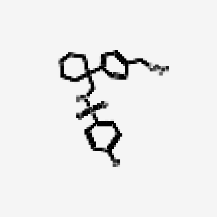 O=C(O)Cc1ccc(C2(CNS(=O)(=O)c3ccc(Cl)cc3)CCCCC2)cc1